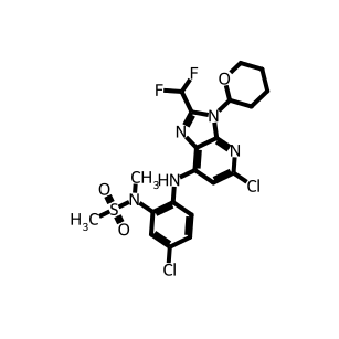 CN(c1cc(Cl)ccc1Nc1cc(Cl)nc2c1nc(C(F)F)n2C1CCCCO1)S(C)(=O)=O